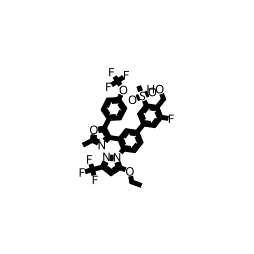 CCOc1cc(C(F)(F)F)nn1-c1ccc(-c2cc(F)c(CO)c(S(C)(=O)=O)c2)cc1-c1nc(C)oc1-c1ccc(OC(F)(F)F)cc1